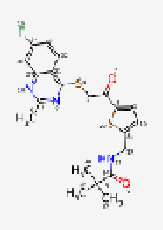 Cc1nc(SCC(=O)c2ccc(CNC(=O)C(C)(C)C)s2)c2ccc(F)cc2n1